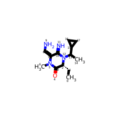 CC[C@@H]1C(=O)N(C)/C(=C/N)C(=N)N1C(C)C1CC1